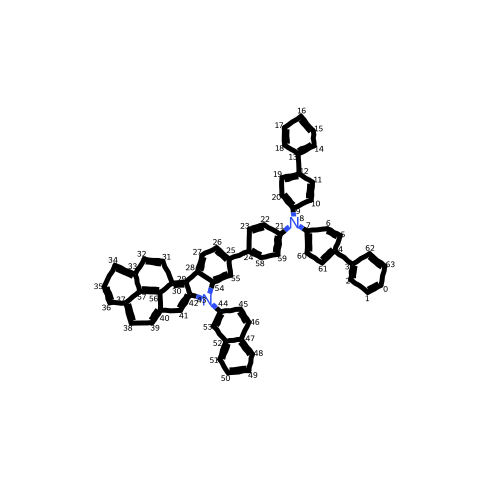 c1ccc(-c2ccc(N(c3ccc(-c4ccccc4)cc3)c3ccc(-c4ccc5c6c7ccc8cccc9ccc(cc6n(-c6ccc%10ccccc%10c6)c5c4)c7c98)cc3)cc2)cc1